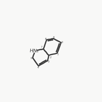 C1=CC2C=CCNC2C=C1